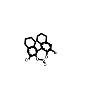 O=S1Oc2c(Br)cc3c(c2-c2c4c(cc(Br)c2O1)CCCC4)CCCC3